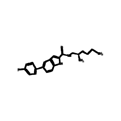 NCCC[C@@H](N)CNC(=O)c1cc2cc(-c3ccc(F)cc3)ccc2[nH]1